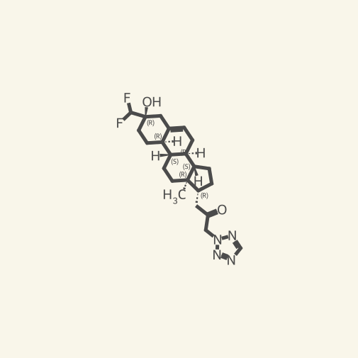 C[C@]12CC[C@H]3[C@@H](CC=C4C[C@@](O)(C(F)F)CC[C@@H]43)[C@@H]1CC[C@@H]2CC(=O)Cn1ncnn1